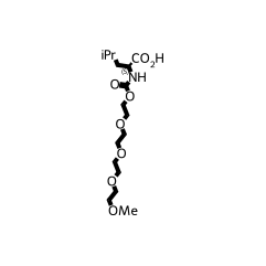 COCCOCCOCCOCCOC(=O)N[C@@H](CC(C)C)C(=O)O